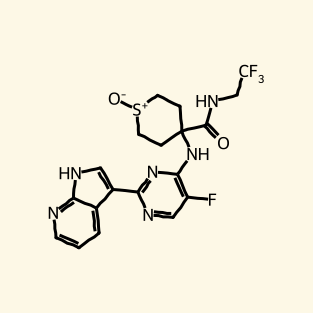 O=C(NCC(F)(F)F)C1(Nc2nc(-c3c[nH]c4ncccc34)ncc2F)CC[S+]([O-])CC1